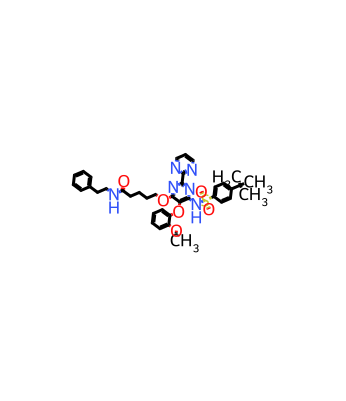 COc1ccccc1Oc1c(NS(=O)(=O)c2ccc(C(C)(C)C)cc2)nc(-c2ncccn2)nc1OCCCCC(=O)NCCc1ccccc1